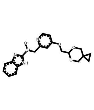 [O-][S+](Cc1cc(OCC2OCC3(CC3)CO2)ccn1)c1nc2ccccc2[nH]1